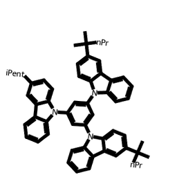 CCCC(C)c1ccc2c(c1)c1ccccc1n2-c1cc(-n2c3ccccc3c3cc(C(C)(C)CCC)ccc32)cc(-n2c3ccccc3c3cc(C(C)(C)CCC)ccc32)c1